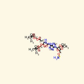 CC1(C)OC2C(COSN)OC(n3cnc4c(NC(=O)N[C@@H](CCC(=O)OCOC(=O)C(C)(C)C)C(=O)OCOC(=O)C(C)(C)C)ncnc43)C2O1